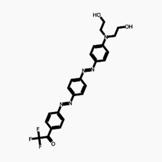 O=C(c1ccc(N=Nc2ccc(N=Nc3ccc(N(CCO)CCO)cc3)cc2)cc1)C(F)(F)F